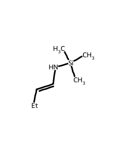 CCC=CN[Si](C)(C)C